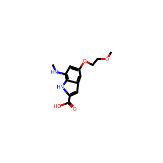 CNc1cc(OCCOC)cc2cc(C(=O)O)[nH]c12